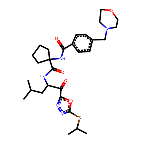 CC(C)CC(NC(=O)C1(NC(=O)c2ccc(CN3CCOCC3)cc2)CCCC1)C(=O)c1nnc(SC(C)C)o1